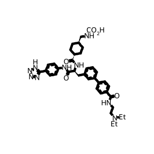 CCN(CC)CCNC(=O)c1ccc(-c2cccc(C[C@H](NC(=O)[C@H]3CC[C@H](CNC(=O)O)CC3)C(=O)Nc3ccc(-c4nnn[nH]4)cc3)c2)cc1